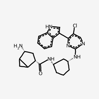 N[C@@H]1C[C@H](C(=O)N[C@H]2CCC[C@@H](Nc3ncc(Cl)c(-c4c[nH]c5ccccc45)n3)C2)C2CC21